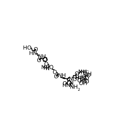 [N-]=[N+]=NCOC1CC(n2cc(C#CCNC(=O)COCCOC(COc3cccc(C(=O)NCCNC(=O)CCO)c3)N=[N+]=[N-])c3c(=O)[nH]c(N)nc32)OC1COP(=O)(O)OP(=O)(O)OP(=O)(O)O